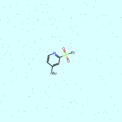 CCC[CH]c1ccnc(S(=O)(=O)CC)c1